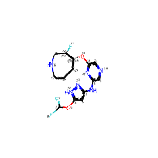 FC(F)Oc1cc(Nc2cncc(O[C@@H]3CCCNC[C@H]3F)n2)n[nH]1